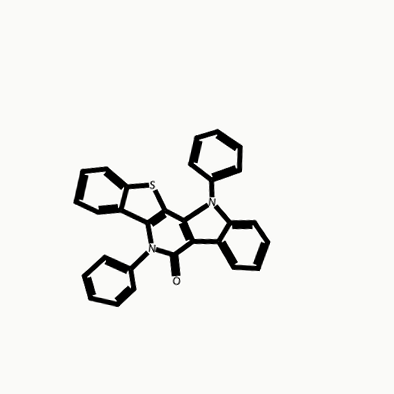 O=c1c2c3ccccc3n(-c3ccccc3)c2c2sc3ccccc3c2n1-c1ccccc1